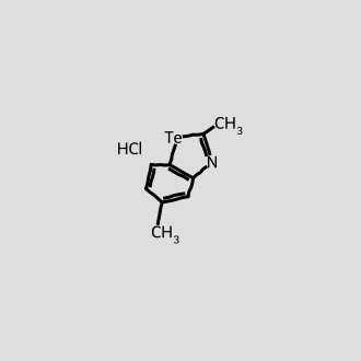 Cc1ccc2[te]c(C)nc2c1.Cl